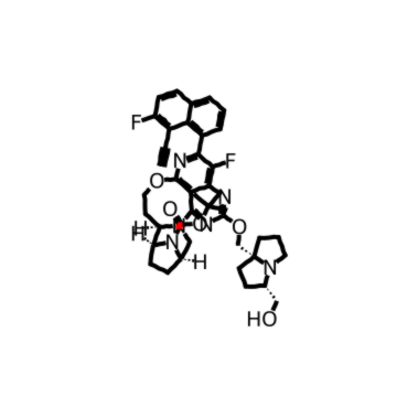 C#Cc1c(F)ccc2cccc(-c3nc4c5c(nc(OC[C@]67CCCN6[C@H](CO)CC7)nc5c3F)N3C[C@H]5CC[C@@H]([C@H]3CCO4)N5C(=O)OC(C)(C)C)c12